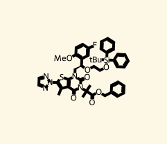 COc1ccc(F)cc1[C@H](Cn1c(=O)n(C(C)(C)C(=O)OCc2ccccc2)c(=O)c2c(C)c(-n3nccn3)sc21)OCCO[Si](c1ccccc1)(c1ccccc1)C(C)(C)C